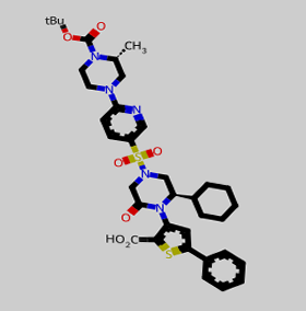 C[C@@H]1CN(c2ccc(S(=O)(=O)N3CC(=O)N(c4cc(-c5ccccc5)sc4C(=O)O)[C@H](C4CCCCC4)C3)cn2)CCN1C(=O)OC(C)(C)C